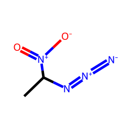 CC(N=[N+]=[N-])[N+](=O)[O-]